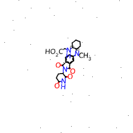 CN(c1ccc2c(c1)C(=O)N(C1CCC(=O)NC1=O)C2=O)[C@@H]1CCCC[C@@H]1NCC(=O)O